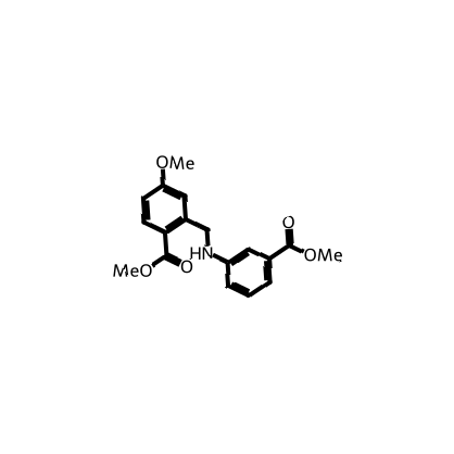 COC(=O)c1cccc(NCc2cc(OC)ccc2C(=O)OC)c1